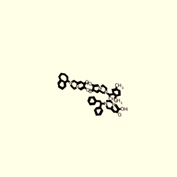 Cc1ccc(C)c(C(C)N2CCn3cc(O)c(=O)cc3C2)c1.O=c1cc2n(cc1O)CCN(C(Cc1ccccc1)c1ccccc1)C2.O=c1cc2n(cc1O)CCN(C1CCCCc3ccccc31)C2